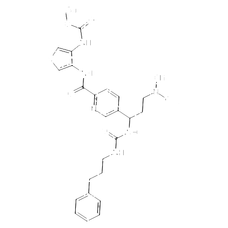 CN(C)CCC(NC(=O)NCCCc1ccccc1)c1ccc(C(=O)Nc2cscc2NC(=O)OC(C)(C)C)nc1